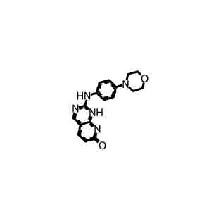 O=c1ccc2cnc(Nc3ccc(N4CCOCC4)cc3)[nH]c-2n1